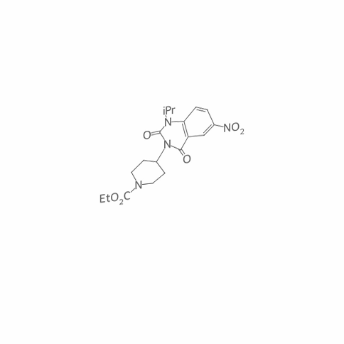 CCOC(=O)N1CCC(n2c(=O)c3cc([N+](=O)[O-])ccc3n(C(C)C)c2=O)CC1